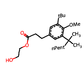 CCCCCC(C)(C)c1cc(CCC(=O)OCCO)cc(C(C)(C)C)c1OC